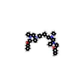 c1ccc(-n2c3cc(-c4cccc(-c5ccc(-n6c7ccccc7c7c6ccc6c8ccccc8n(-c8ccc9c(c8)oc8cc%10ccccc%10cc89)c67)cc5)c4)ccc3c3c4c5ccccc5n(-c5cccc6c5oc5cc7ccccc7cc56)c4ccc32)cc1